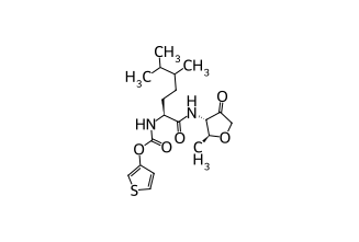 CC(C)C(C)CC[C@H](NC(=O)Oc1ccsc1)C(=O)N[C@@H]1C(=O)CO[C@H]1C